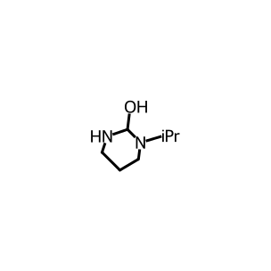 CC(C)N1CCCNC1O